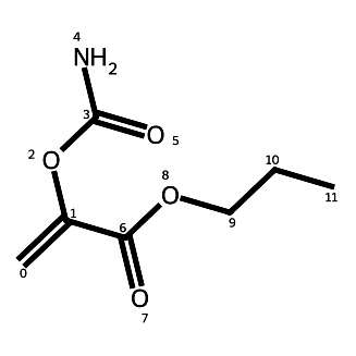 C=C(OC(N)=O)C(=O)OCCC